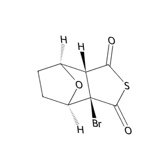 O=C1SC(=O)[C@]2(Br)[C@H]3CC[C@H](O3)[C@H]12